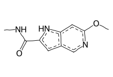 CNC(=O)c1cc2cnc(OC)cc2[nH]1